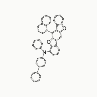 c1ccc(-c2ccc(N(c3ccccc3)c3cccc4c3oc3c(-c5cccc6ccccc56)c5c(cc34)oc3ccccc35)cc2)cc1